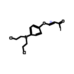 O=C(I)/C=C/Oc1ccc(N(CCCl)CCCl)cc1